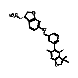 Cc1cc2c(c(C)c1-c1cccc(COc3ccc4c(c3)OC[C@H]4CC(=O)O)c1)C(C)(C)CO2